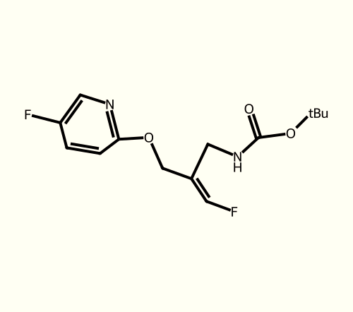 CC(C)(C)OC(=O)NC/C(=C\F)COc1ccc(F)cn1